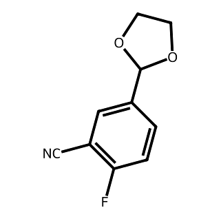 N#Cc1cc(C2OCCO2)ccc1F